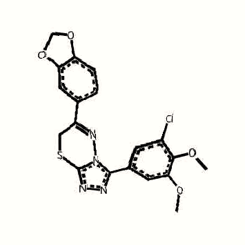 COc1cc(-c2nnc3n2N=C(c2ccc4c(c2)OCO4)CS3)cc(Cl)c1OC